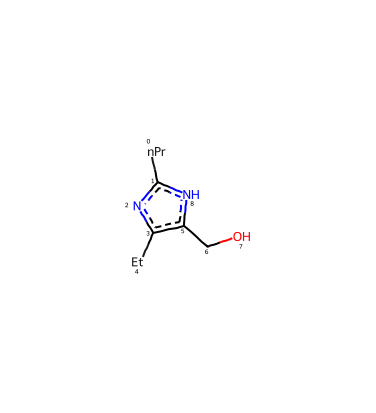 CCCc1nc(CC)c(CO)[nH]1